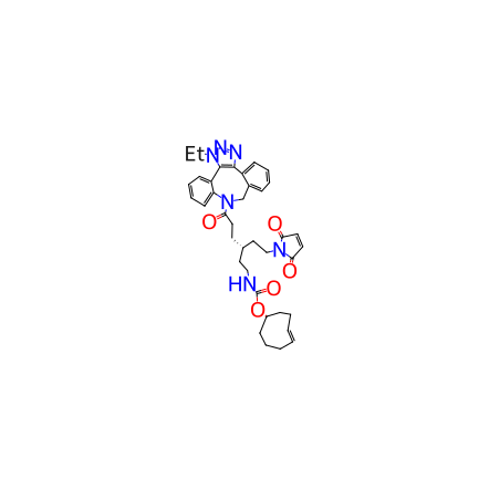 CCn1nnc2c1-c1ccccc1N(C(=O)CC[C@@H](CCNC(=O)O[C@H]1CC/C=C/CCC1)CCN1C(=O)C=CC1=O)Cc1ccccc1-2